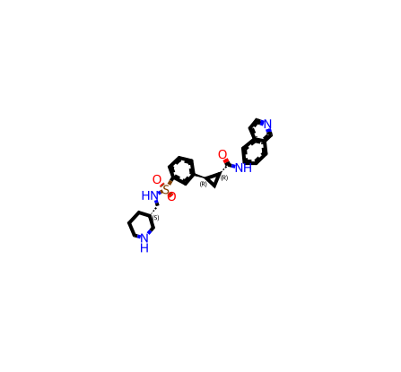 O=C(Nc1ccc2cnccc2c1)[C@@H]1C[C@H]1c1cccc(S(=O)(=O)NC[C@H]2CCCNC2)c1